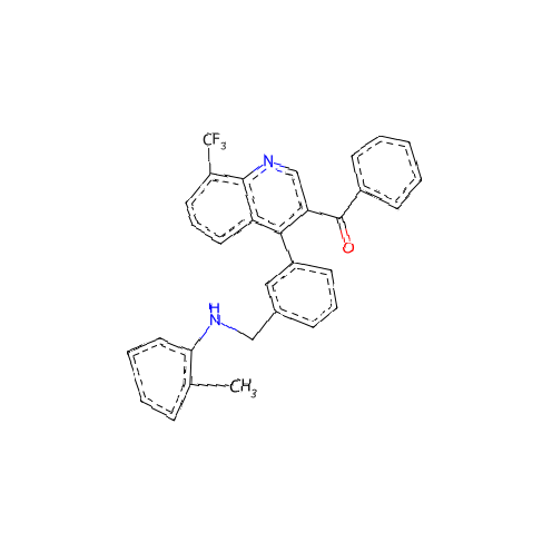 Cc1ccccc1NCc1cccc(-c2c(C(=O)c3ccccc3)cnc3c(C(F)(F)F)cccc23)c1